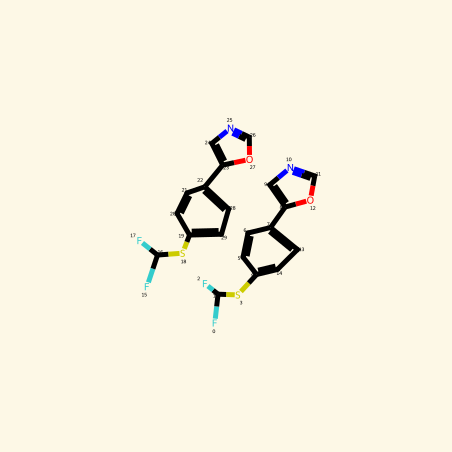 FC(F)Sc1ccc(-c2cnco2)cc1.FC(F)Sc1ccc(-c2cnco2)cc1